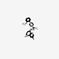 C=C(N/N=C1/CCNc2cc(F)cnc21)N1CCN(c2ccccc2N)CC1